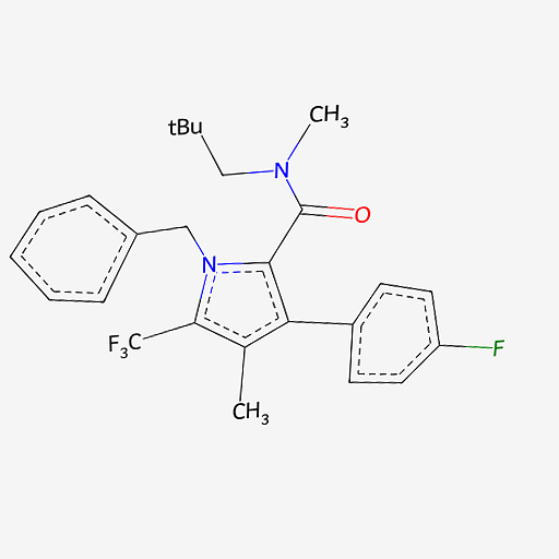 Cc1c(-c2ccc(F)cc2)c(C(=O)N(C)CC(C)(C)C)n(Cc2ccccc2)c1C(F)(F)F